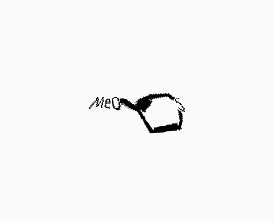 COC1=CCS[C]=C1